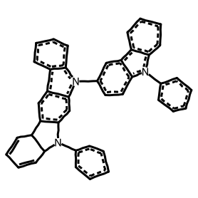 C1=CC2c3cc4c5ccccc5n(-c5ccc6c(c5)c5ccccc5n6-c5ccccc5)c4cc3N(c3ccccc3)C2C=C1